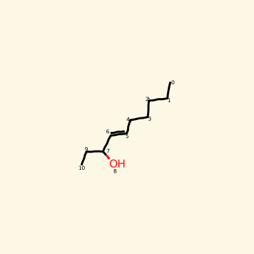 CC[CH]CCC=CC(O)CC